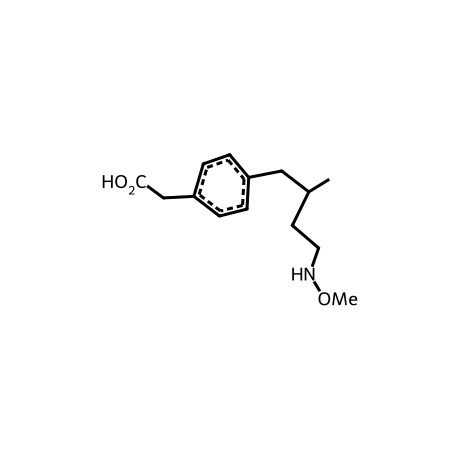 CONCCC(C)Cc1ccc(CC(=O)O)cc1